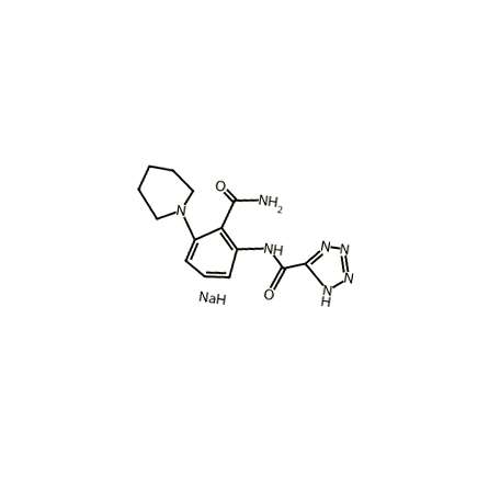 NC(=O)c1c(NC(=O)c2nnn[nH]2)cccc1N1CCCCC1.[NaH]